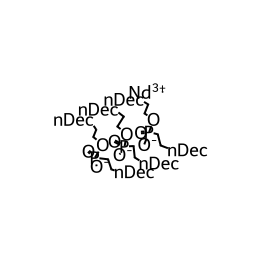 CCCCCCCCCCCCOP(=O)([O-])CCCCCCCCCCCC.CCCCCCCCCCCCOP(=O)([O-])CCCCCCCCCCCC.CCCCCCCCCCCCOP(=O)([O-])CCCCCCCCCCCC.[Nd+3]